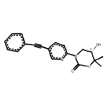 CC1(C)OC(=O)N(c2ccc(C#Cc3ccccc3)cn2)C[C@@H]1O